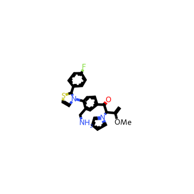 C=C(OC)C(C(=O)c1ccc(N2C=CSC2c2ccc(F)cc2)c(CN)c1)n1cccc1